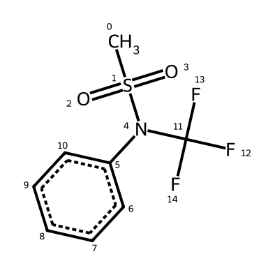 CS(=O)(=O)N(c1ccccc1)C(F)(F)F